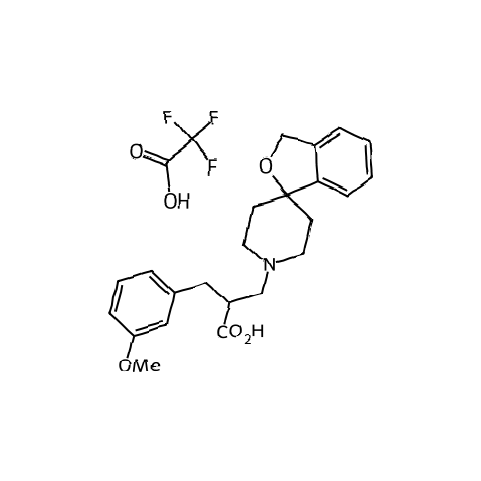 COc1cccc(CC(CN2CCC3(CC2)OCc2ccccc23)C(=O)O)c1.O=C(O)C(F)(F)F